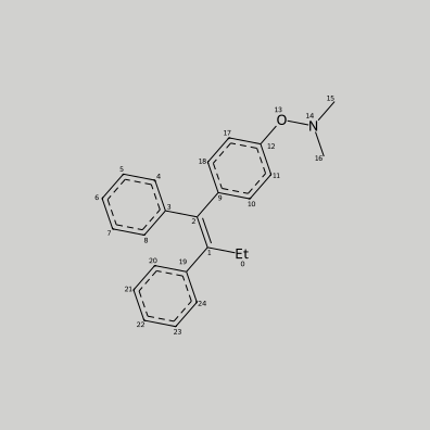 CCC(=C(c1ccccc1)c1ccc(ON(C)C)cc1)c1ccccc1